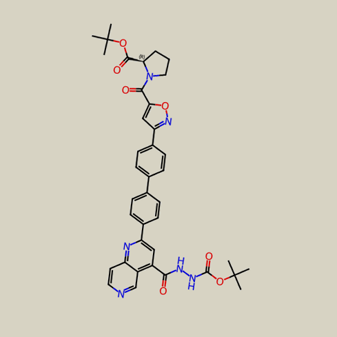 CC(C)(C)OC(=O)NNC(=O)c1cc(-c2ccc(-c3ccc(-c4cc(C(=O)N5CCC[C@@H]5C(=O)OC(C)(C)C)on4)cc3)cc2)nc2ccncc12